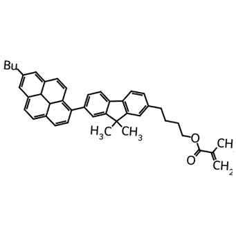 C=C(C)C(=O)OCCCCc1ccc2c(c1)C(C)(C)c1cc(C3=C4C=CC5=CC(C(C)(C)C)=CC6=CC=C(C=C3)C4C65)ccc1-2